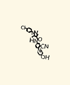 Cc1c(C(=O)Nc2ccc(N3CCC(O)CC3)c(C#N)c2)cnn1-c1ccc(Cl)cc1